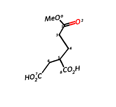 COC(=O)CCC(CC(=O)O)C(=O)O